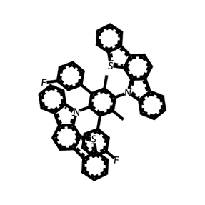 Cc1c(-c2cccc(F)c2)c(-n2c3ccccc3c3ccc4c5ccccc5sc4c32)c(-c2cccc(F)c2)c(C)c1-n1c2ccccc2c2ccc3c4ccccc4sc3c21